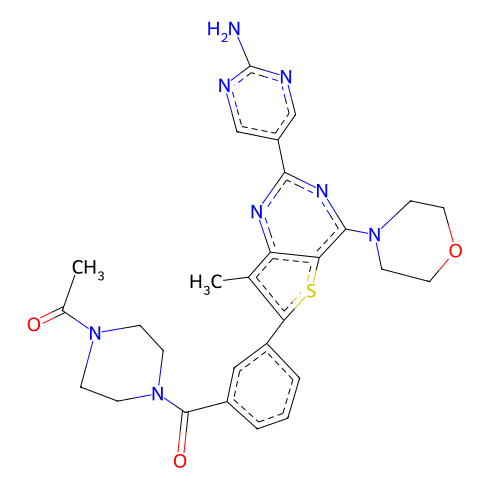 CC(=O)N1CCN(C(=O)c2cccc(-c3sc4c(N5CCOCC5)nc(-c5cnc(N)nc5)nc4c3C)c2)CC1